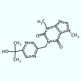 Cn1cnc2c1c(=O)n(Cc1cnc(C(C)(C)O)cn1)c(=O)n2C